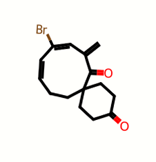 C=C1/C=C(Br)\C=C/CCC2(CCC(=O)CC2)C1=O